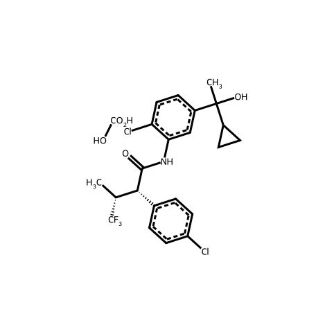 C[C@H]([C@H](C(=O)Nc1cc(C(C)(O)C2CC2)ccc1Cl)c1ccc(Cl)cc1)C(F)(F)F.O=C(O)O